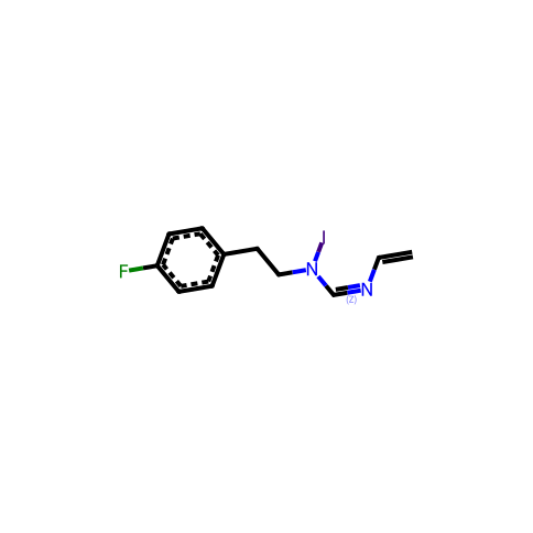 C=C/N=C\N(I)CCc1ccc(F)cc1